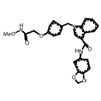 CONC(=O)COc1ccc(Cn2cc(C(=O)Nc3ccc4c(c3)OCO4)c3ccccc32)cc1